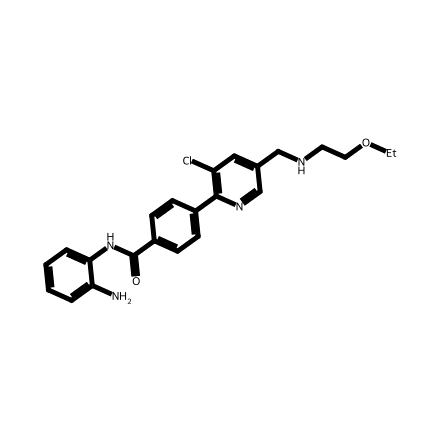 CCOCCNCc1cnc(-c2ccc(C(=O)Nc3ccccc3N)cc2)c(Cl)c1